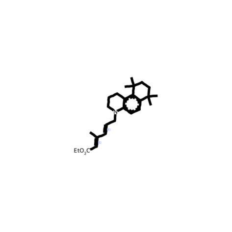 CCOC(=O)/C=C(C)/C=C/CN1CCCc2c1ccc1c2C(C)(C)CCC1(C)C